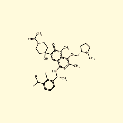 CC(=O)N1CCC(O)(c2cc3c(N[C@H](C)c4cccc(C(F)F)c4F)nc(C)c(OC[C@@H]4CCCN4C)c3n(C)c2=O)CC1